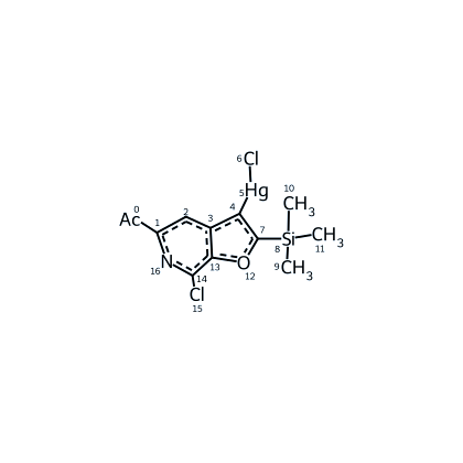 CC(=O)c1cc2[c]([Hg][Cl])c([Si](C)(C)C)oc2c(Cl)n1